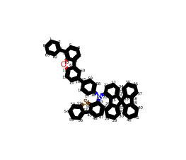 c1ccc(-c2cccc3c2oc2ccc(-c4ccc(N(c5cccc6c5-c5ccccc5C65c6ccccc6-c6ccccc65)c5cccc6c5sc5ccccc56)cc4)cc23)cc1